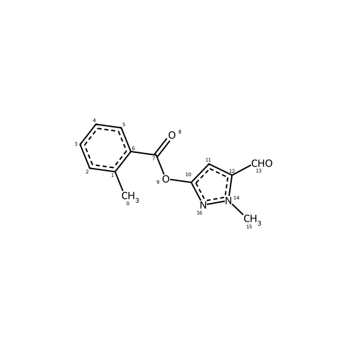 Cc1ccccc1C(=O)Oc1cc(C=O)n(C)n1